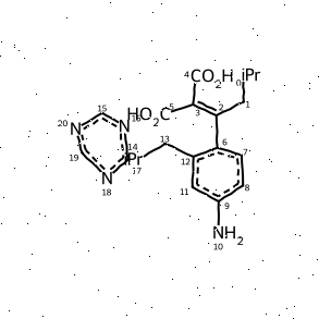 CC(C)CC(=C(C(=O)O)C(=O)O)c1ccc(N)cc1CC(C)C.c1ncncn1